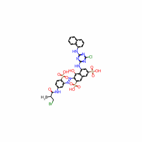 BC(CBr)C(=O)Nc1ccc(S(=O)(=O)O)c(/N=N/c2c(S(=O)(=O)O)cc3cc(S(=O)(=O)O)cc(Nc4nc(Cl)nc(Nc5cccc6ccccc56)n4)c3c2O)c1